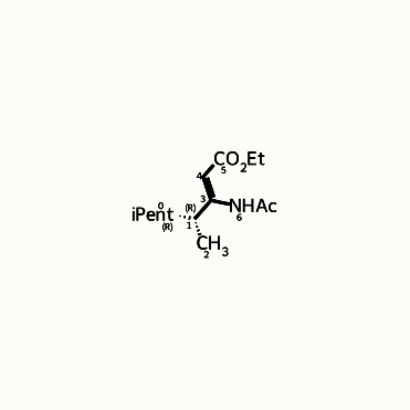 CCC[C@@H](C)[C@@H](C)C(=CC(=O)OCC)NC(C)=O